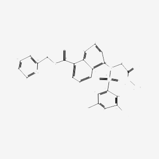 CC(C)(C)OC(=O)CN(c1cccc2c(C(=O)NCc3ccccn3)cccc12)S(=O)(=O)c1cc(Cl)cc(Cl)c1